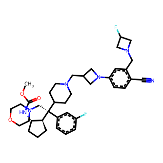 COC(=O)N[C@H]1CCC[C@@H]1[C@](CN1CCOCC1)(c1cccc(F)c1)C1CCN(CC2CN(c3ccc(C#N)c(CN4CC(F)C4)c3)C2)CC1